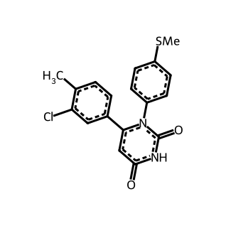 CSc1ccc(-n2c(-c3ccc(C)c(Cl)c3)cc(=O)[nH]c2=O)cc1